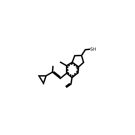 C=Cc1cc2c(c(C)c1/C=C(\C)C1CC1)CC(CS)C2